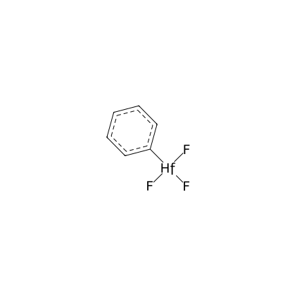 [F][Hf]([F])([F])[c]1ccccc1